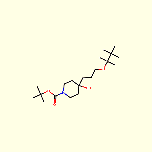 CC(C)(C)OC(=O)N1CCC(O)(CCCO[Si](C)(C)C(C)(C)C)CC1